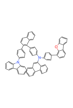 c1ccc2c(-c3ccc(N(c4ccc(-c5cccc6c5oc5ccccc56)cc4)c4cc5ccccc5c5ccccc45)cc3)c(-c3ccc(-n4c5ccccc5c5ccccc54)cc3)ccc2c1